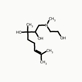 CC(C)=CCCC(C)(O)C(O)CN(C)CCO